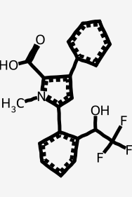 Cn1c(-c2ccccc2C(O)C(F)(F)F)cc(-c2ccccc2)c1C(=O)O